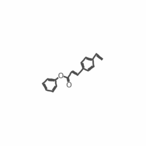 C=Cc1ccc(C=CC(=O)Oc2ccccc2)cc1